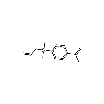 C=CC[Si](C)(C)c1ccc(C(=C)C)cc1